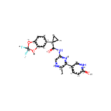 Cc1ncc(NC(=O)C2(c3ccc4c(c3)OC(F)(F)O4)CC2)nc1-c1ccc(=O)[nH]c1